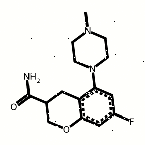 CN1CCN(c2cc(F)cc3c2CC(C(N)=O)CO3)CC1